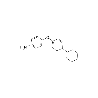 Nc1ccc(OC2=CCC(C3CCCCC3)C=C2)cc1